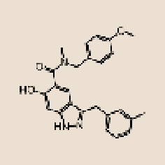 COc1ccc(CN(C)C(=O)c2cc3c(Cc4cccc(C)c4)n[nH]c3cc2O)cc1